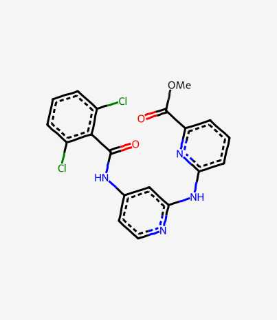 COC(=O)c1cccc(Nc2cc(NC(=O)c3c(Cl)cccc3Cl)ccn2)n1